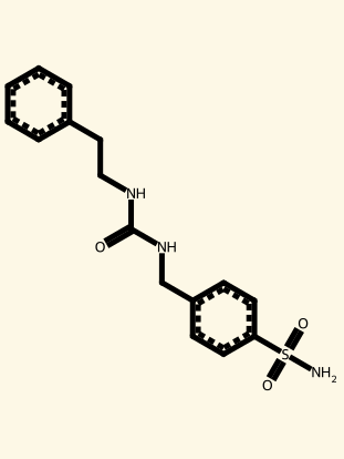 NS(=O)(=O)c1ccc(CNC(=O)NCCc2ccccc2)cc1